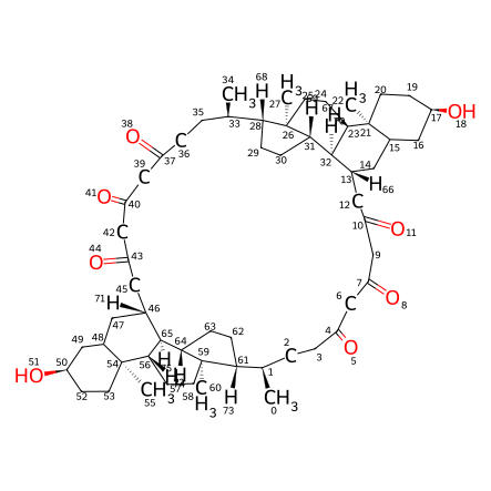 C[C@@H]1CCC(=O)CC(=O)CC(=O)C[C@H]2CC3C[C@H](O)CC[C@]3(C)[C@H]3CC[C@]4(C)[C@H](CC[C@H]4[C@H]23)[C@H](C)CCC(=O)CC(=O)CC(=O)C[C@H]2CC3C[C@H](O)CC[C@]3(C)[C@H]3CC[C@]4(C)[C@@H]1CC[C@H]4[C@H]23